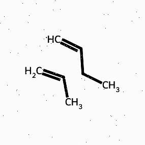 C=CC.[CH]=CCC